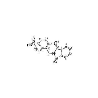 O=C1c2ccccc2C(=O)N1Cc1cccc(C2(C(F)(F)F)NN2)c1